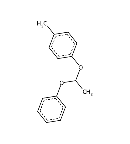 Cc1ccc(OC(C)Oc2ccccc2)cc1